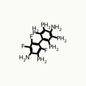 Nc1c(F)c(F)c(-c2c(P)c(P)c(N)c(P)c2P)c(F)c1P